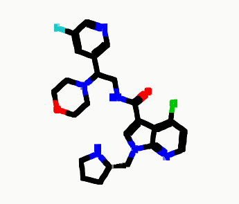 O=C(NCC(c1cncc(F)c1)N1CCOCC1)c1cn(C[C@@H]2CCCN2)c2nccc(Cl)c12